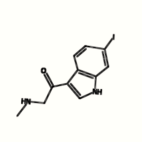 CNCC(=O)c1c[nH]c2cc(I)ccc12